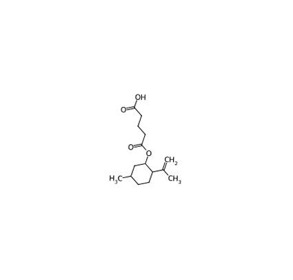 C=C(C)C1CCC(C)CC1OC(=O)CCCC(=O)O